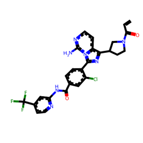 C=CC(=O)N1CCC(c2nc(-c3ccc(C(=O)Nc4cc(C(F)(F)F)ccn4)cc3Cl)n3c(N)nccc23)C1